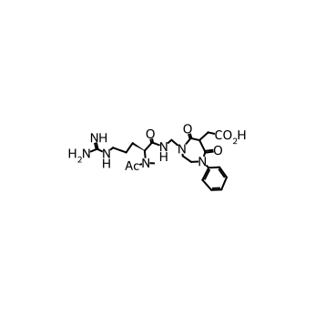 CC(=O)N(C)[C@@H](CCCNC(=N)N)C(=O)NCN1CCN(c2ccccc2)C(=O)C(CC(=O)O)C1=O